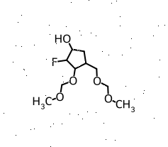 COCOCC1CC(O)C(F)C1OCOC